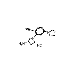 Cl.N#Cc1ccc(N2CCCC2)cc1N1CC[C@H](N)C1